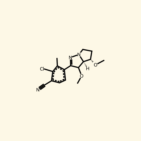 COC1C(c2ccc(C#N)c(Cl)c2C)=NN2CC[C@H](OC)[C@@H]12